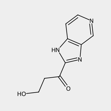 O=C(CCO)c1nc2cnccc2[nH]1